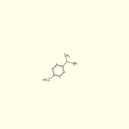 CC(c1ccc(C(=O)O)cc1)C(C)(C)C